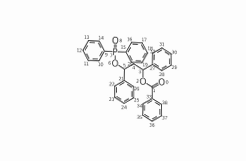 O=C(OC(CC(OP(=O)(c1ccccc1)c1ccccc1)c1ccccc1)c1ccccc1)c1ccccc1